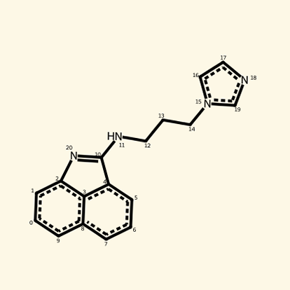 c1cc2c3c(cccc3c1)C(NCCCn1ccnc1)=N2